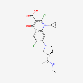 CCN[C@H](C)[C@@H]1CCN(c2cc3c(cc2F)c(=O)c(C(=O)O)c(Cl)n3C2CC2)C1